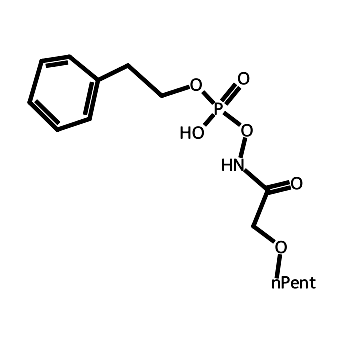 CCCCCOCC(=O)NOP(=O)(O)OCCc1ccccc1